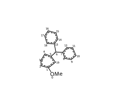 COc1cccc([C](c2ccccc2)c2ccccc2)c1